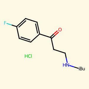 CCC(C)NCCC(=O)c1ccc(F)cc1.Cl